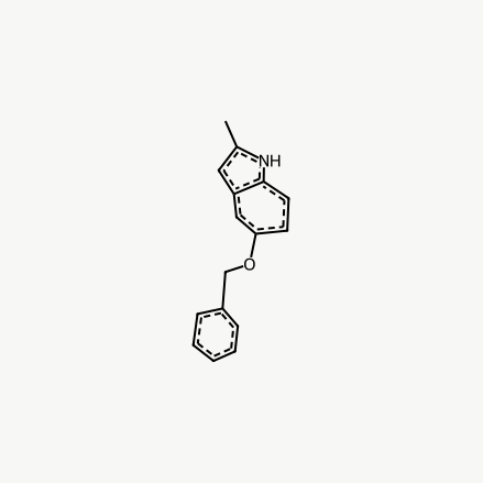 Cc1cc2cc(OCc3ccccc3)ccc2[nH]1